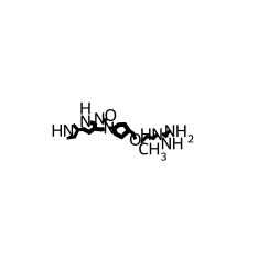 C[C@@H](CCNC(=N)N)OCc1ccc(-n2cc3cc(C4CCNC4)[nH]c3nc2=O)cc1